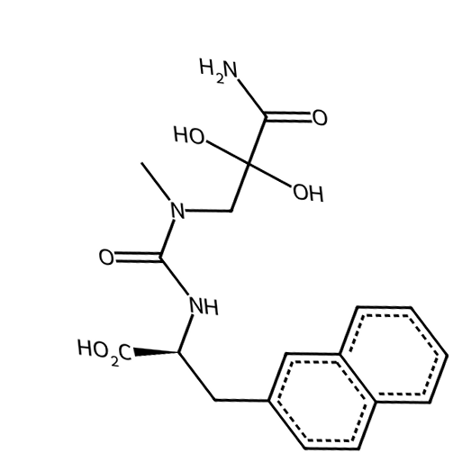 CN(CC(O)(O)C(N)=O)C(=O)N[C@@H](Cc1ccc2ccccc2c1)C(=O)O